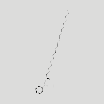 CCCCCCCCCCCCCCCCCCCCCC(=O)OC(O)c1ccccc1